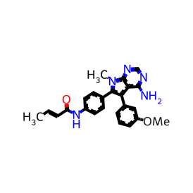 C/C=C/C(=O)Nc1ccc(-c2c(-c3cccc(OC)c3)c3c(N)ncnc3n2C)cc1